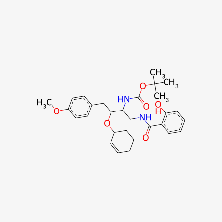 COc1ccc(CC(OC2C=CCCC2)C(CNC(=O)c2ccccc2O)NC(=O)OC(C)(C)C)cc1